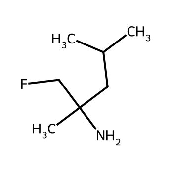 CC(C)CC(C)(N)CF